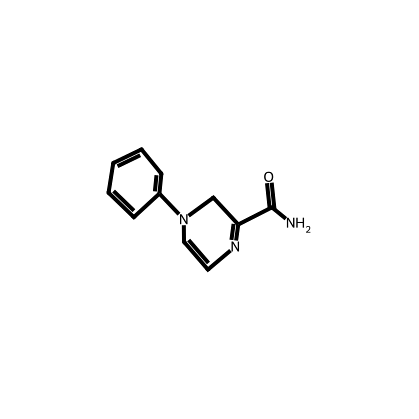 NC(=O)C1=NC=CN(c2ccccc2)C1